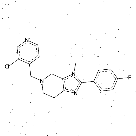 Cn1c(-c2ccc(F)cc2)nc2c1CN(Cc1ccncc1Cl)CC2